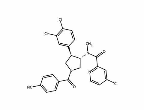 CN(C(=O)c1cc(Cl)ccn1)[C@@H]1CN(C(=O)c2ccc(C#N)cc2)C[C@H]1c1ccc(Cl)c(Cl)c1